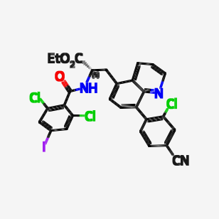 CCOC(=O)[C@H](Cc1ccc(-c2ccc(C#N)cc2Cl)c2ncccc12)NC(=O)c1c(Cl)cc(I)cc1Cl